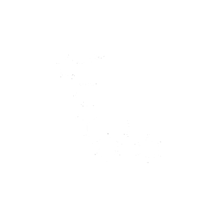 N#CC1CCCN1C(=O)CN1CCC(Oc2cccc(C(=O)c3ccccc3)c2)C1